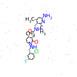 Cc1cc(N)nc(C)c1CNC(=O)Cc1c(C)ccn(NCc2cc(F)ccc2Cl)c1=O